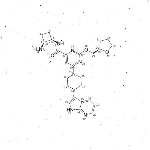 N[C@H]1CC[C@H]1NC(=O)c1cc(N2CCC(c3c[nH]c4ncccc34)CC2)nc(OC[C@H]2CCCO2)n1